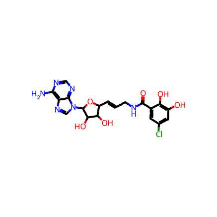 Nc1ncnc2c1ncn2C1OC(C=CCNC(=O)c2cc(Cl)cc(O)c2O)C(O)C1O